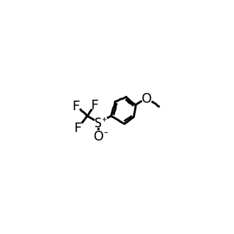 COc1ccc([S+]([O-])C(F)(F)F)cc1